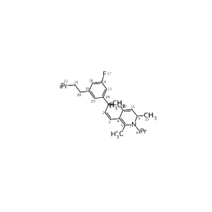 C=C(/C=C\C1=C(C)N(C(C)C)C(C)C=C1C)c1cc(F)cc(CCC(C)C)c1